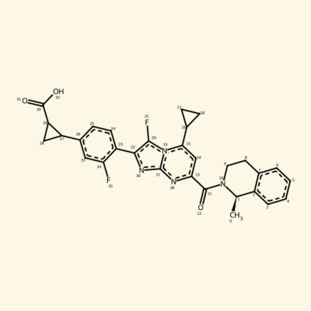 C[C@@H]1c2ccccc2CCN1C(=O)c1cc(C2CC2)n2c(F)c(-c3ccc(C4CC4C(=O)O)cc3F)nc2n1